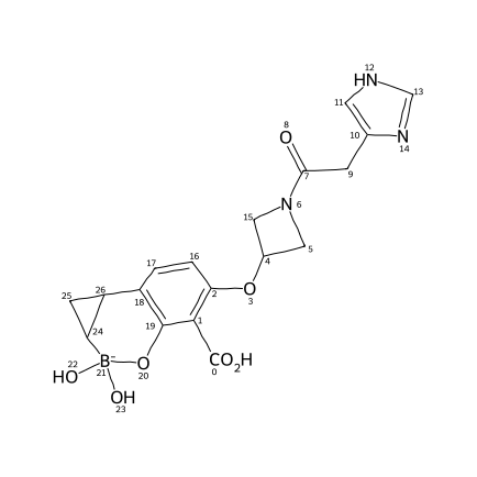 O=C(O)c1c(OC2CN(C(=O)Cc3c[nH]cn3)C2)ccc2c1O[B-](O)(O)C1CC21